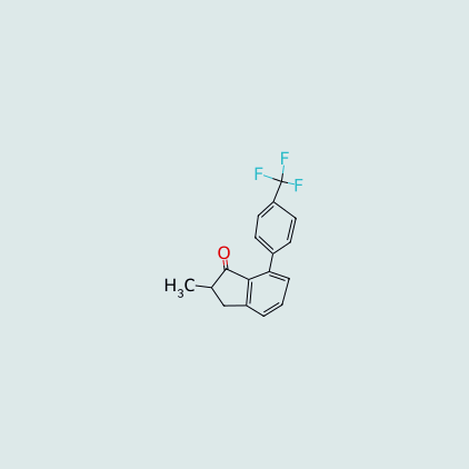 CC1Cc2cccc(-c3ccc(C(F)(F)F)cc3)c2C1=O